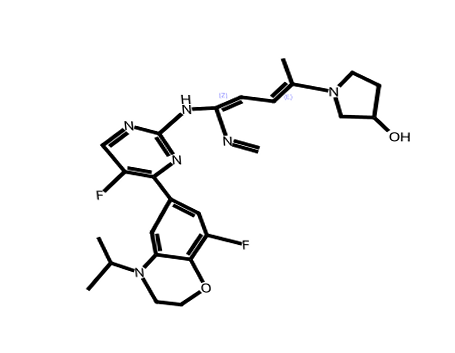 C=N/C(=C\C=C(/C)N1CCC(O)C1)Nc1ncc(F)c(-c2cc(F)c3c(c2)N(C(C)C)CCO3)n1